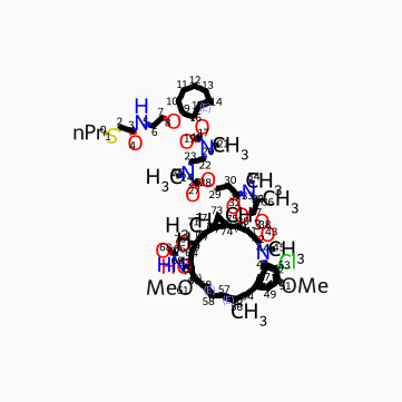 CCCSCC(=O)NCCOC1CCCC/C=C/C1OC(=O)N(C)CCN(C)C(=O)OCCC(=O)N(C)[C@@H](C)C(=O)O[C@H]1CC(=O)N(C)c2cc(cc(OC)c2Cl)C/C(C)=C/C=C/[C@@H](OC)[C@@]2(O)C[C@H](OC(=O)N2)[C@@H](C)[C@@H]2C[C@@]12C